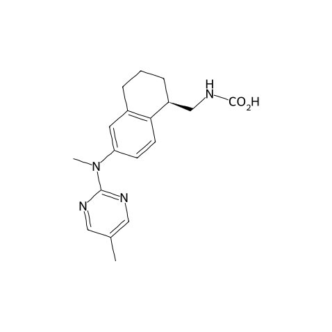 Cc1cnc(N(C)c2ccc3c(c2)CCC[C@H]3CNC(=O)O)nc1